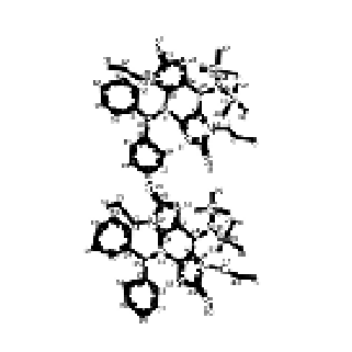 CCCn1c2c(sc1=S)P(P(c1ccccc1)c1ccccc1)c1c(sc(=S)n1CCC)P2N([Si](C)(C)C)[Si](C)(C)C.CCCn1c2c(sc1=S)P(P(c1ccccc1)c1ccccc1)c1c(sc(=S)n1CCC)P2N([Si](C)(C)C)[Si](C)(C)C